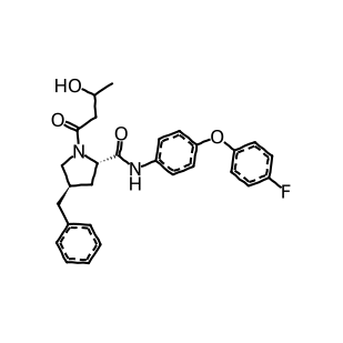 CC(O)CC(=O)N1C[C@H](Cc2ccccc2)C[C@H]1C(=O)Nc1ccc(Oc2ccc(F)cc2)cc1